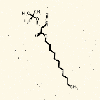 CCCCCCCCCCCCOC(=O)[C@H](COC(C)(C)C)N=C=O